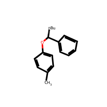 CCCCC(Oc1ccc(C)cc1)c1ccccc1